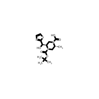 C[C@@H]1CN(C(=O)OC(C)(C)C)[C@@H](C(O)c2nccs2)CN1C(=O)O